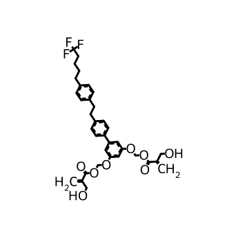 C=C(CO)C(=O)OCOc1cc(OCOC(=O)C(=C)CO)cc(-c2ccc(CCc3ccc(CCCCC(F)(F)F)cc3)cc2)c1